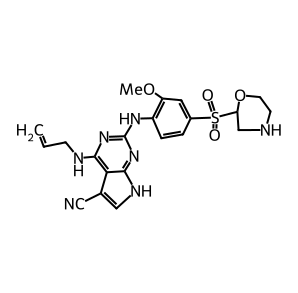 C=CCNc1nc(Nc2ccc(S(=O)(=O)C3CNCCO3)cc2OC)nc2[nH]cc(C#N)c12